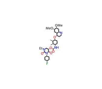 CCn1cc(OC(=O)Nc2ccc(Oc3ccnc4cc(OC)c(OC)cc34)c(C)c2C)c(=O)n(-c2ccc(F)cc2)c1=O